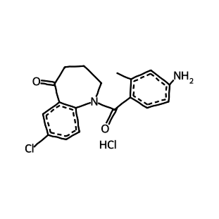 Cc1cc(N)ccc1C(=O)N1CCCC(=O)c2cc(Cl)ccc21.Cl